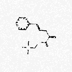 C=C(CC=Cc1ccccc1)C(=O)OC[Si](C)(C)C